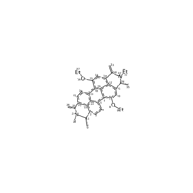 C=C1c2ccc3c4c(OCC)cc5c6c(cc(OCC)c(c7ccc(c2c37)C(=C)N1C)c64)C(=C)N(CC)C5=C